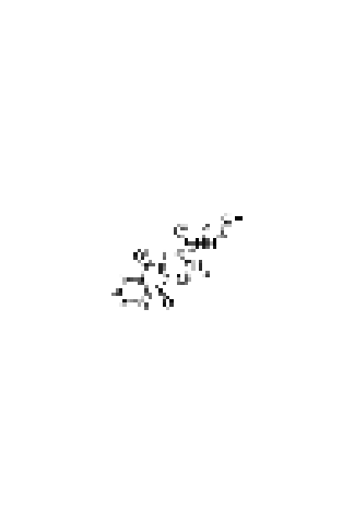 C/C(=C\C1=C(Cl)C(=O)C2=C(CCC=C2)C1=O)C(=O)NCCO